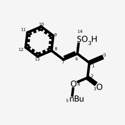 C=C(C(=O)OCCCC)C(=Cc1ccccc1)S(=O)(=O)O